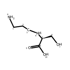 NCCCN[C@@H](CO)C(=O)O